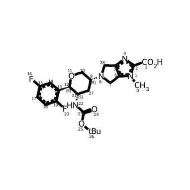 Cn1c(C(=O)O)nc2c1CN([C@H]1CO[C@H](c3cc(F)ccc3F)[C@@H](NC(=O)OC(C)(C)C)C1)C2